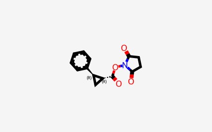 O=C(ON1C(=O)CCC1=O)[C@@H]1C[C@H]1c1ccccc1